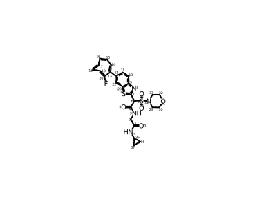 O=C(CNC(=O)C(c1nc2ccc(C3=C/C=C\C=C\C=C\3F)cc2s1)S(=O)(=O)N1CCOCC1)NC1CC1